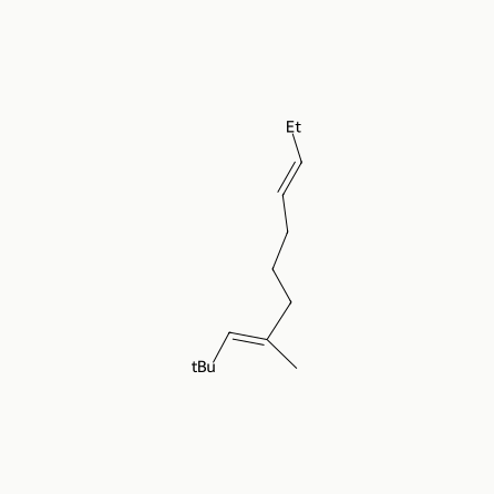 CCC=CCCCC(C)=CC(C)(C)C